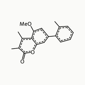 COc1cc(-c2ccccc2C)cc2oc(=O)c(C)c(C)c12